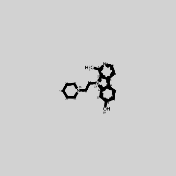 Cc1nccc2c3ccc(O)cc3n(CCN3CCCCC3)c12